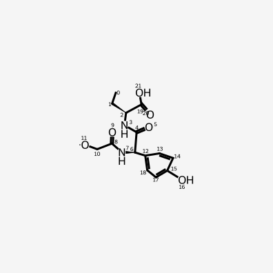 CC[C@H](NC(=O)[C@H](NC(=O)C[O])c1ccc(O)cc1)C(=O)O